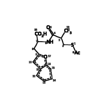 CC(=O)SCC(C(=O)NC(Cc1cc2ccccc2o1)C(=O)O)C(F)(F)F